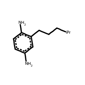 CC(C)CCCc1cc(N)ccc1N